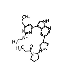 CCC(=O)N1CCCC1n1cc(-c2cnc3[nH]cc(-c4cc(CC)nc(NC)n4)c3c2)cn1